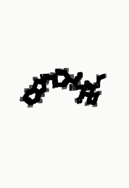 CCOC(=O)C1(C(=O)NNC(=O)c2cnc(NC3Cc4ccccc4C3)nc2)CCC1